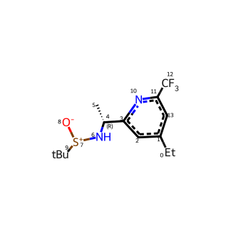 CCc1cc([C@@H](C)N[S+]([O-])C(C)(C)C)nc(C(F)(F)F)c1